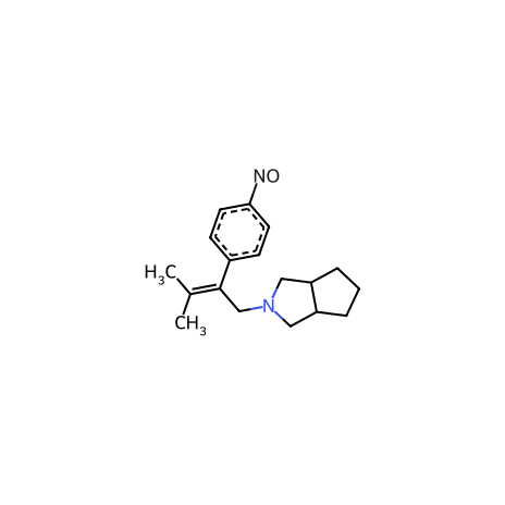 CC(C)=C(CN1CC2CCCC2C1)c1ccc(N=O)cc1